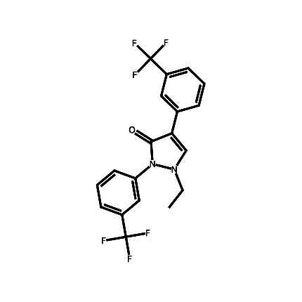 CCn1cc(-c2cccc(C(F)(F)F)c2)c(=O)n1-c1cccc(C(F)(F)F)c1